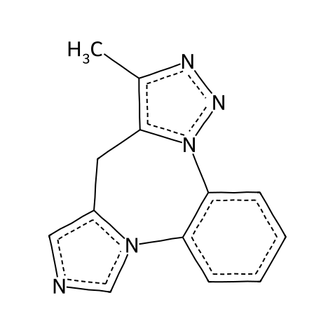 Cc1nnn2c1Cc1cncn1-c1ccccc1-2